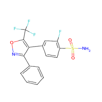 NS(=O)(=O)c1ccc(-c2c(-c3ccccc3)noc2C(F)(F)F)cc1F